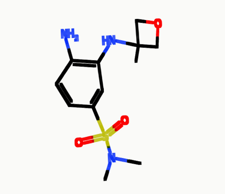 CN(C)S(=O)(=O)c1ccc(N)c(NC2(C)COC2)c1